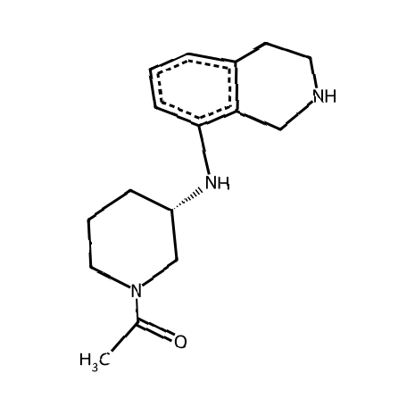 CC(=O)N1CCC[C@H](Nc2cccc3c2CNCC3)C1